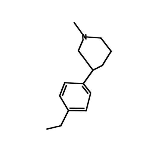 CCc1ccc(C2CCCN(C)C2)cc1